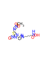 CS(=O)(=O)N1CCN(Cc2cc3nc(-c4cccc5c4cnn5CCCCCCC(=O)NO)nc(N4CCOCC4)c3s2)CC1